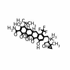 CN(C)[C@@H]1C(O)=C(C(N)=O)C(=O)[C@@]2(O)C(O)=C3C(=O)c4c(O)cc(CN(C)[C@H](CO)C5(C)CC5)c(C(F)(F)F)c4C[C@H]3C[C@@H]12